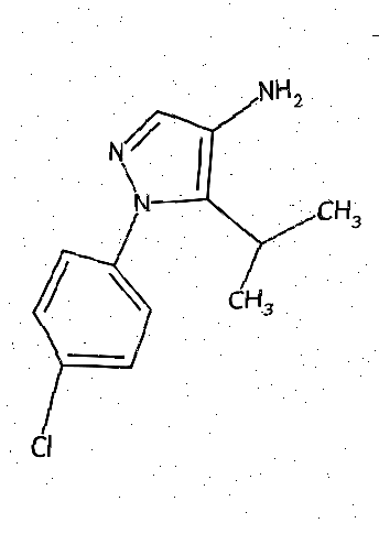 CC(C)c1c(N)cnn1-c1ccc(Cl)cc1